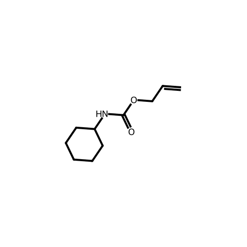 C=CCOC(=O)NC1CCCCC1